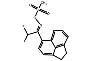 CS(=O)(=O)ON=C(c1ccc2c3c(cccc13)CC2)C(F)F